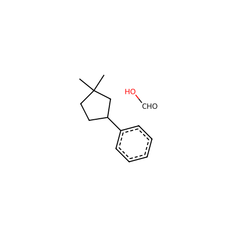 CC1(C)CCC(c2ccccc2)C1.O=CO